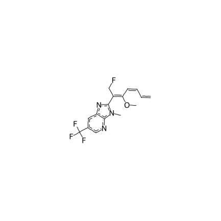 C=C/C=C\C(OC)=C(/CF)c1nc2cc(C(F)(F)F)cnc2n1C